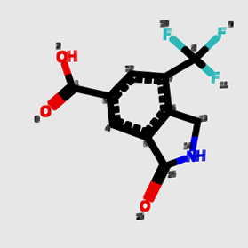 O=C(O)c1cc2c(c(C(F)(F)F)c1)CNC2=O